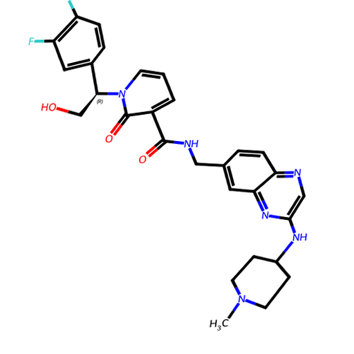 CN1CCC(Nc2cnc3ccc(CNC(=O)c4cccn([C@@H](CO)c5ccc(F)c(F)c5)c4=O)cc3n2)CC1